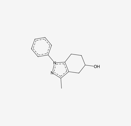 Cc1nn(-c2ccccc2)c2c1CC(O)CC2